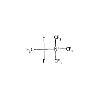 FC(F)(F)C(F)(F)[N+](C(F)(F)F)(C(F)(F)F)C(F)(F)F